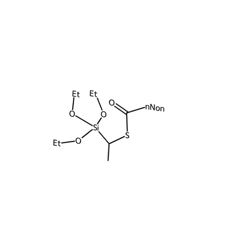 CCCCCCCCCC(=O)SC(C)[Si](OCC)(OCC)OCC